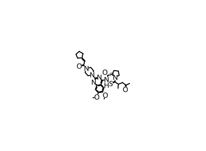 COc1cc2nc(N3CCN(C(=O)C=C4CCCC4)CC3)nc(NC(=O)[C@H]3CCCN3C(=S)C(C)CC(C)=O)c2cc1OC